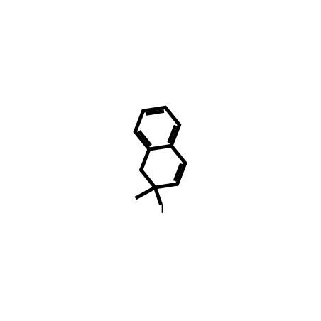 CC1(I)C=Cc2ccccc2C1